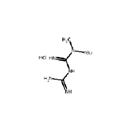 CCCCN(C)C(=N)NC(=N)N.Cl